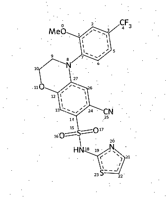 COc1cc(C(F)(F)F)ccc1N1CCOc2cc(S(=O)(=O)Nc3nccs3)c(C#N)cc21